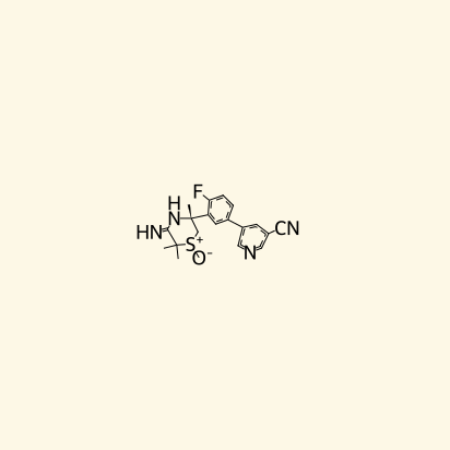 CC1(C)C(=N)N[C@](C)(c2cc(-c3cncc(C#N)c3)ccc2F)C[S+]1[O-]